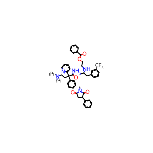 CC(C)N(CCC(C(N)=O)(c1ccccc1)c1ccccn1)C(C)C.CC(Cc1cccc(C(F)(F)F)c1)NCCOC(=O)c1ccccc1.CN1C(=O)CC(c2ccccc2)C1=O